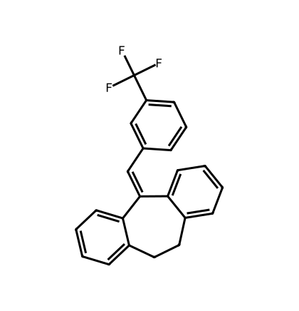 FC(F)(F)c1cccc(C=C2c3ccccc3CCc3ccccc32)c1